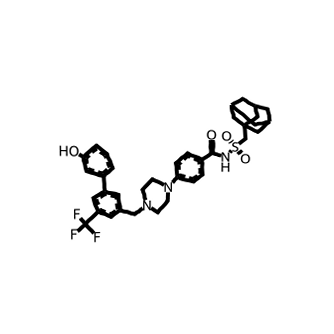 O=C(NS(=O)(=O)CC12CC3CC(CC(C3)C1)C2)c1ccc(N2CCN(Cc3cc(-c4cccc(O)c4)cc(C(F)(F)F)c3)CC2)cc1